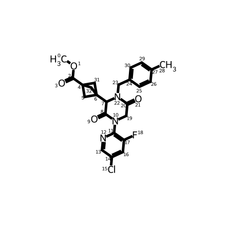 COC(=O)C12CC(C3C(=O)N(c4ncc(Cl)cc4F)CC(=O)N3Cc3ccc(C)cc3)(C1)C2